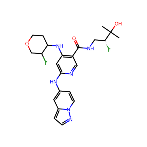 CC(C)(O)[C@H](F)CNC(=O)c1cnc(Nc2ccn3nccc3c2)cc1NC1CCOCC1F